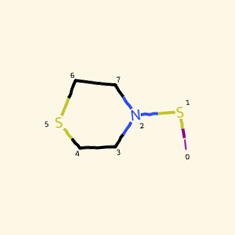 ISN1CCSCC1